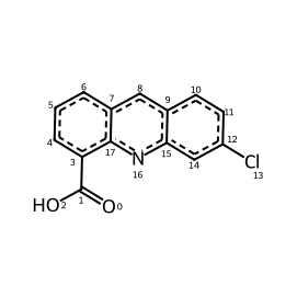 O=C(O)c1cccc2cc3ccc(Cl)cc3nc12